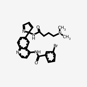 CN(C)CCCC(=O)NC1(c2ccc3nccc(NC(=O)c4cccc(Br)c4)c3c2)C=CC=N1